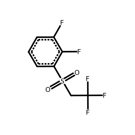 O=S(=O)(CC(F)(F)F)c1cccc(F)c1F